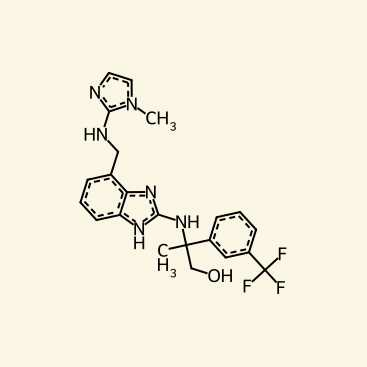 Cn1ccnc1NCc1cccc2[nH]c(NC(C)(CO)c3cccc(C(F)(F)F)c3)nc12